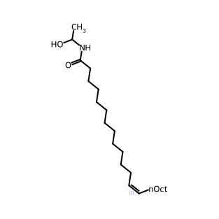 CCCCCCCC/C=C\CCCCCCCCCCCC(=O)NC(C)O